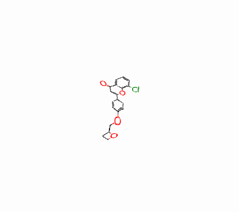 O=c1cc(-c2ccc(OCC3CCO3)cc2)oc2c(Cl)cccc12